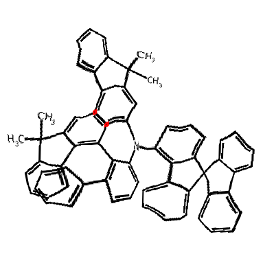 CC1(C)c2ccccc2-c2ccc(N(c3cccc(-c4ccccc4)c3-c3cccc4c3-c3ccccc3C4(C)C)c3cccc4c3-c3ccccc3C43c4ccccc4-c4ccccc43)cc21